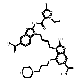 CCn1nc(C)cc1C(=O)Nc1nc2cc(C(N)=O)ccc2n1CC=CCn1c(N)nc2cc(C(N)=O)cc(OCCCN3CCOCC3)c21